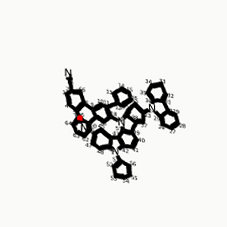 N#Cc1ccc(C#N)c(-c2cc(-c3ccccc3)c(-n3c4ccc(-n5c6ccccc6c6ccccc65)cc4c4ccc5c(c6ccccc6n5-c5ccccc5)c43)cc2-c2ccccc2)c1